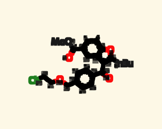 CCCCc1oc2ccc(C(=O)OC)cc2c1C(=O)c1ccc(COCCCl)cc1